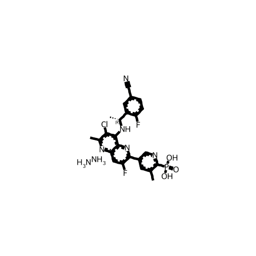 Cc1cc(-c2nc3c(N[C@H](C)c4cc(C#N)ccc4F)c(Cl)c(C)nc3cc2F)cnc1P(=O)(O)O.N.N